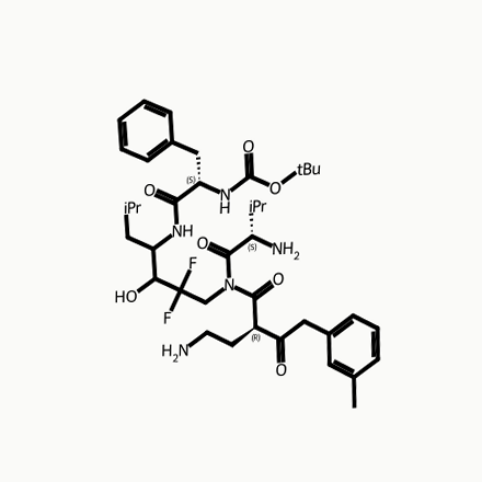 Cc1cccc(CC(=O)[C@@H](CCN)C(=O)N(CC(F)(F)C(O)C(CC(C)C)NC(=O)[C@H](Cc2ccccc2)NC(=O)OC(C)(C)C)C(=O)[C@@H](N)C(C)C)c1